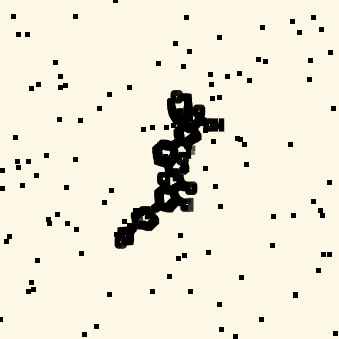 O=C(O)c1cc(F)c(-c2cccc3c2OCN(C(=O)c2c(Cl)cc(N4CCN(C5COC5)CC4)cc2Cl)C3)cc1N1C2CCC1COC2